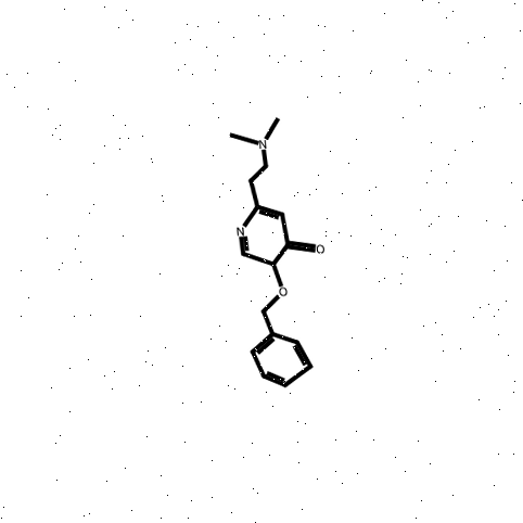 CN(C)CCC1=CC(=O)C(OCc2ccccc2)C=N1